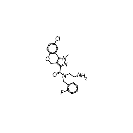 Cn1nc(C(=O)N(CCN)Cc2ccccc2F)c2c1-c1cc(Cl)ccc1OC2